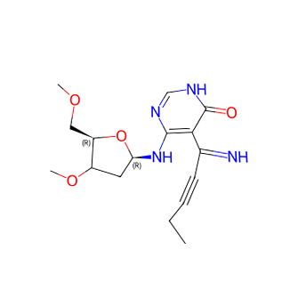 CCC#CC(=N)c1c(N[C@H]2CC(OC)[C@@H](COC)O2)nc[nH]c1=O